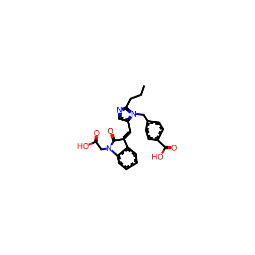 CCCc1ncc(/C=C2\C(=O)N(CC(=O)O)c3ccccc32)n1Cc1ccc(C(=O)O)cc1